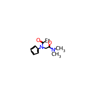 CCC(=O)N(CC(=O)N(C)C)c1ccccc1